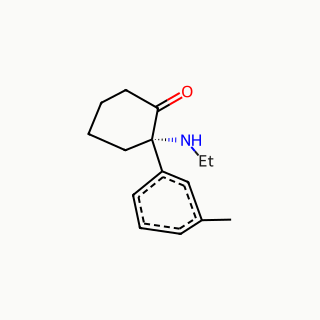 CCN[C@]1(c2cccc(C)c2)CCCCC1=O